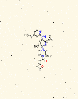 C=Cc1ccnc(Nc2cc(C#N)c(N3CCN(C(=O)CC4CCO4)C(C(C)C)C3)nc2C2CC2)c1